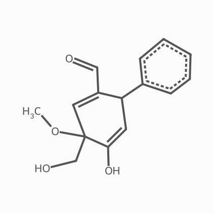 COC1(CO)C=C(C=O)C(c2ccccc2)C=C1O